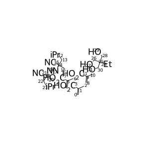 C=C(C)C(=O)O.C=C(C)C(=O)O.C=C(C)C(=O)O.CC(C)CC(C)(C#N)N=NC(C)(C#N)CC(C)C.CCC(CO)(CO)CO